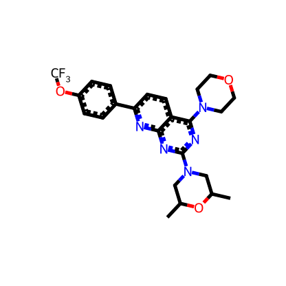 CC1CN(c2nc(N3CCOCC3)c3ccc(-c4ccc(OC(F)(F)F)cc4)nc3n2)CC(C)O1